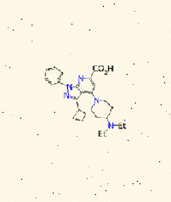 CCN(CC)C1CCN(c2cc(C(=O)O)nc3c2c(C2CCC2)nn3-c2ccccc2)CC1